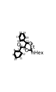 CCCCCCC(CC)OC(C(=O)c1ccccc1)C(=O)c1ccccc1